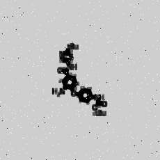 CC(C)(C)OC(=O)Nc1ccc(Oc2ccc(C(=O)Nc3nnc(C(C)(C)C)s3)cc2N)cc1